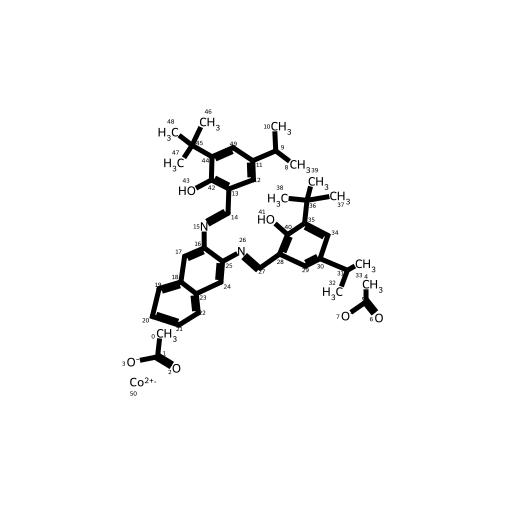 CC(=O)[O-].CC(=O)[O-].CC(C)c1cc(C=Nc2cc3ccccc3cc2N=Cc2cc(C(C)C)cc(C(C)(C)C)c2O)c(O)c(C(C)(C)C)c1.[Co+2]